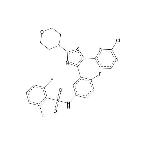 O=S(=O)(Nc1ccc(F)c(-c2nc(N3CCOCC3)sc2-c2ccnc(Cl)n2)c1)c1c(F)cccc1F